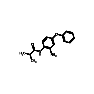 CC(C)C(=O)Nc1ccc(Oc2ccccc2)cc1N